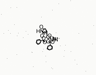 CC[C@@]1(N=[N+]=[N-])O[C@@H](n2ccc(=O)[nH]c2=O)[C@H](OC(=O)c2ccccc2)[C@@H]1OC(=O)c1ccccc1